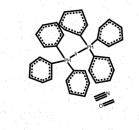 C#N.C=O.c1ccc([PH]([Ir][PH](c2ccccc2)(c2ccccc2)c2ccccc2)(c2ccccc2)c2ccccc2)cc1